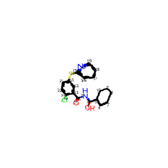 O=C(NC(O)C1CCCCC1)c1cc(Sc2ccccn2)ccc1Cl